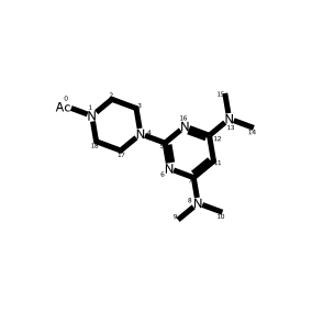 CC(=O)N1CCN(c2nc(N(C)C)cc(N(C)C)n2)CC1